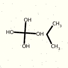 CCC.OC(O)(O)O